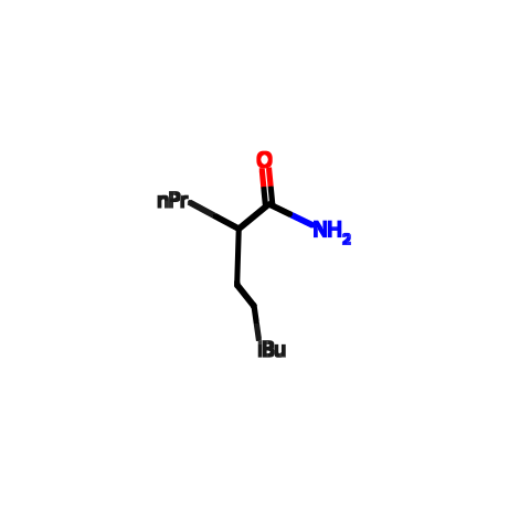 CCCC(CCC(C)CC)C(N)=O